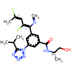 C=N/C(=C(F)\C=C(/C)F)c1cc(C(=O)N[C@@H](C)CO)cc(-n2nnnc2C(C)C)c1